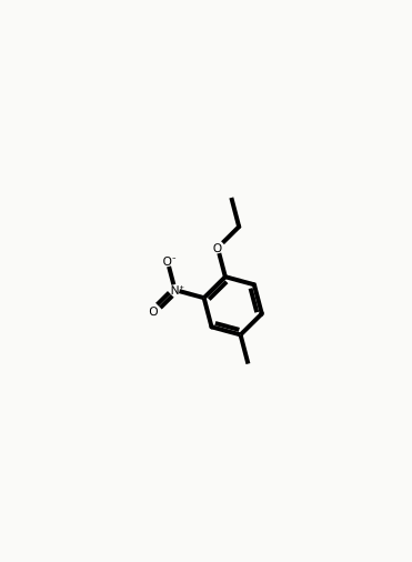 CCOc1ccc(C)cc1[N+](=O)[O-]